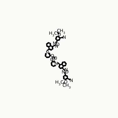 CC(C)Oc1ccc(-c2nc(-c3ccc(CN4C=CC=CC(O[PH](=O)OC5=CN(Cc6ccc(-c7noc(-c8ccc(OC(C)C)c(C#N)c8)n7)c7ccccc67)C=CC=C5)=C4)c4ccccc34)no2)cc1C#N